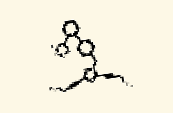 CCC#Cc1nc(C#CCC)n(Cc2ccc(-c3ccccc3-c3nnn[nH]3)cc2)n1